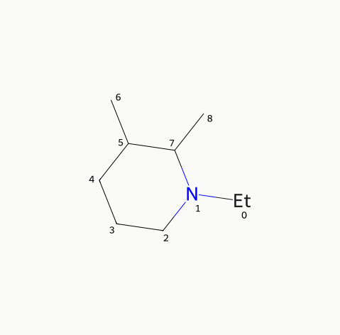 CCN1CCCC(C)C1C